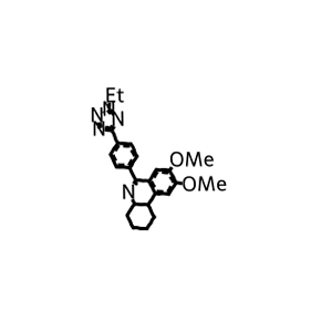 CCn1nnc(-c2ccc(C3=NC4CCCCC4c4cc(OC)c(OC)cc43)cc2)n1